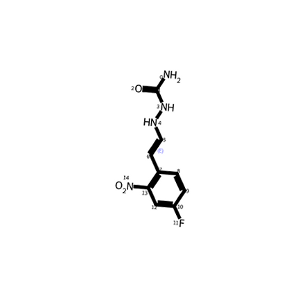 NC(=O)NN/C=C/c1ccc(F)cc1[N+](=O)[O-]